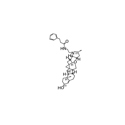 C[C@H]1C[C@H]2O[C@@]34CC[C@H]5[C@@H]6CCC7=C[C@@H](O)CC[C@]7(C)[C@H]6CC56CC63C[C@@H]4[C@@H]2N(CCNC(=O)CCc2ccccc2)C1